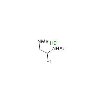 CCC(CNC)NC(C)=O.Cl